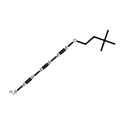 BB=BB=BB=BOCCC(C)(C)C